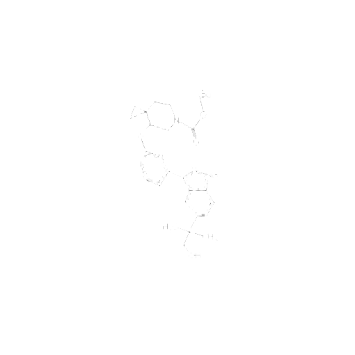 CC(C)(C)OC(=O)N1CCC2(CC2)C(Oc2cncc(-c3n[nH]c4ccc(C(C)(C)CO)cc34)n2)C1